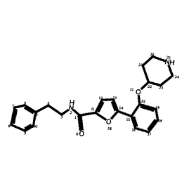 O=C(NCCc1ccccc1)c1ccc(-c2ccccc2OC2CCNCC2)o1